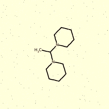 C[C](N1CCCCC1)N1CCCCC1